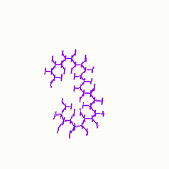 II(I)I(I)I(I)I(I)I(I)I(I)I(I)I(I)I(I)I(I)I(I)I(I)I(I)I(I)I(I)I(I)I(I)I(I)I(I)I(I)I(I)I(I)I(I)I(I)I(I)I